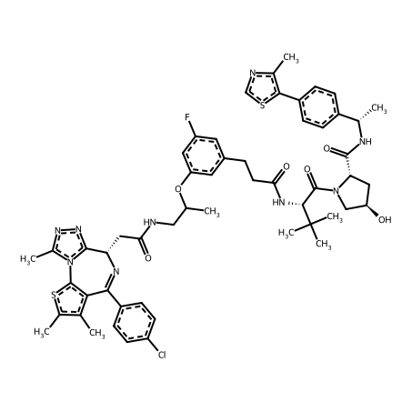 Cc1ncsc1-c1ccc([C@H](C)NC(=O)[C@@H]2C[C@@H](O)CN2C(=O)[C@@H](NC(=O)CCc2cc(F)cc(OC(C)CNC(=O)C[C@@H]3N=C(c4ccc(Cl)cc4)c4c(sc(C)c4C)-n4c(C)nnc43)c2)C(C)(C)C)cc1